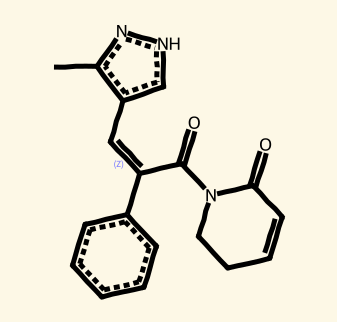 Cc1n[nH]cc1/C=C(\C(=O)N1CCC=CC1=O)c1ccccc1